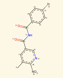 Cc1cc(C(=O)NC(=O)c2ccc(Br)cc2)cnc1[N+](=O)[O-]